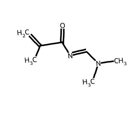 C=C(C)C(=O)N=CN(C)C